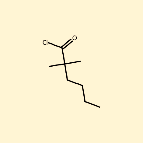 CCCCC(C)(C)C(=O)Cl